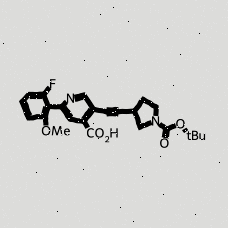 COc1cccc(F)c1-c1cc(C(=O)O)c(C#CC2CCN(C(=O)OC(C)(C)C)C2)cn1